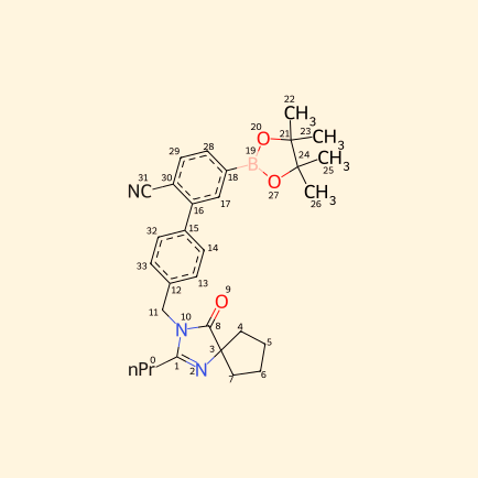 CCCC1=NC2(CCCC2)C(=O)N1Cc1ccc(-c2cc(B3OC(C)(C)C(C)(C)O3)ccc2C#N)cc1